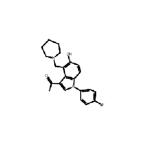 CC(=O)c1cn(-c2ccc(Br)cc2)c2ccc(O)c(CN3CCCCC3)c12